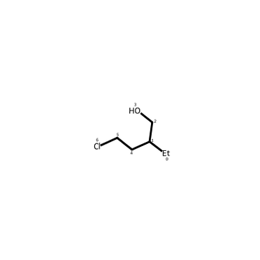 CCC(CO)CCCl